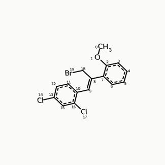 COc1ccccc1/C(=C/c1ccc(Cl)cc1Cl)CBr